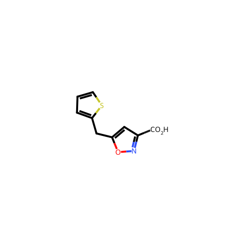 O=C(O)c1cc(Cc2cccs2)on1